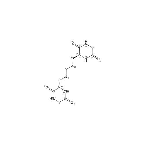 O=C1CNC(=O)[C@H](CSCSC[C@@H]2NC(=O)CNC2=O)N1